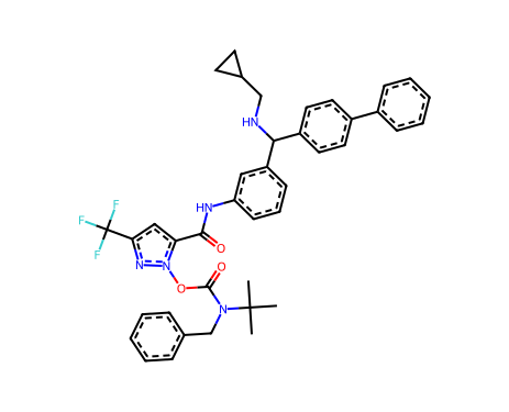 CC(C)(C)N(Cc1ccccc1)C(=O)On1nc(C(F)(F)F)cc1C(=O)Nc1cccc(C(NCC2CC2)c2ccc(-c3ccccc3)cc2)c1